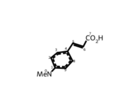 CNc1ccc(C=CC(=O)O)cc1